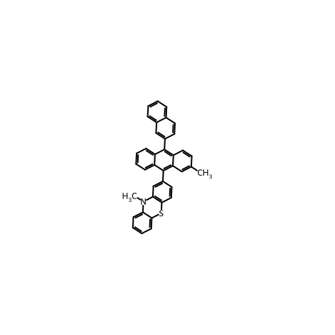 Cc1ccc2c(-c3ccc4ccccc4c3)c3ccccc3c(-c3ccc4c(c3)N(C)c3ccccc3S4)c2c1